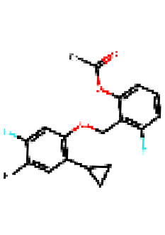 CCC(=O)Oc1cccc(F)c1COc1cc(F)c(CC)cc1C1CC1